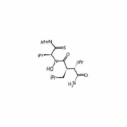 CCC[C@H](C(N)=O)[C@@H](CC(C)C)C(=O)N(O)[C@H](C(=S)NC)C(C)C